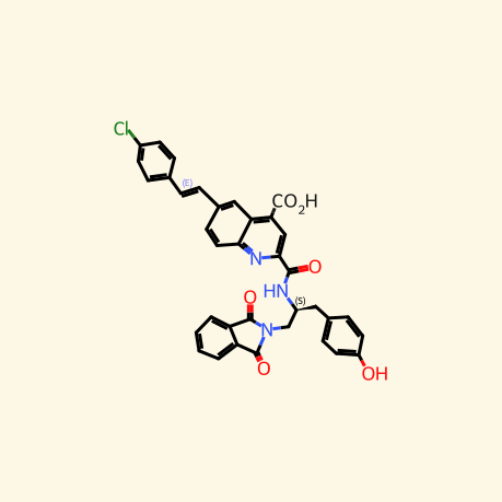 O=C(N[C@@H](Cc1ccc(O)cc1)CN1C(=O)c2ccccc2C1=O)c1cc(C(=O)O)c2cc(/C=C/c3ccc(Cl)cc3)ccc2n1